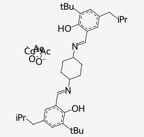 CC(=O)[O-].CC(=O)[O-].CC(C)Cc1cc(C=NC2CCC(N=Cc3cc(CC(C)C)cc(C(C)(C)C)c3O)CC2)c(O)c(C(C)(C)C)c1.[Co+2]